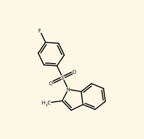 Cc1cc2ccccc2n1S(=O)(=O)c1ccc(F)cc1